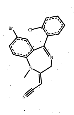 CN1C(=CC#N)CN=C(c2ccccc2Cl)c2cc(Br)ccc21